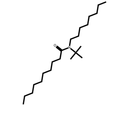 CCCCCCCCCC(=O)N(CCCCCCCC)C(C)(C)C